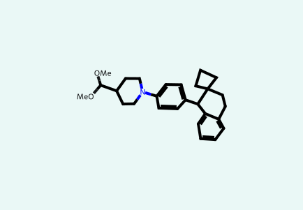 COC(OC)C1CCN(c2ccc(C3c4ccccc4CCC34CCC4)cc2)CC1